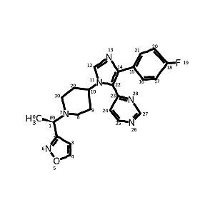 C[C@H](c1ccon1)N1CCC(n2cnc(-c3ccc(F)cc3)c2-c2ccncn2)CC1